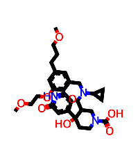 COCCCc1cc(CN(C(=O)C2CN(C(=O)O)CCC2(O)c2cc[nH]c(=O)c2)C2CC2)cc(OCCOC)c1